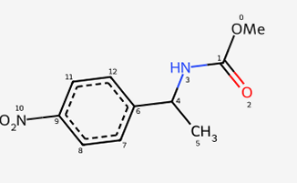 COC(=O)NC(C)c1ccc([N+](=O)[O-])cc1